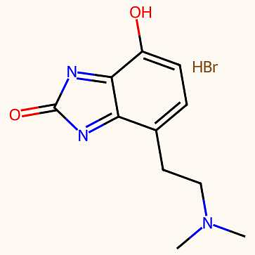 Br.CN(C)CCc1ccc(O)c2c1=NC(=O)N=2